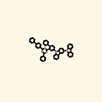 c1ccc(-c2ccc(-c3nc(-c4ccccc4)nc(-c4cc(-n5c6ccccc6c6cc(-n7c8ccccc8c8ccccc87)ccc65)ccc4-c4ccccc4)n3)cc2)cc1